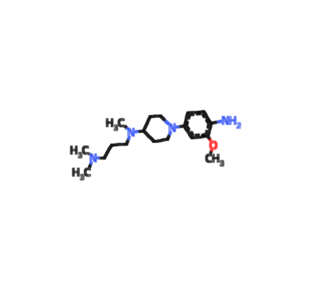 COc1cc(N2CCC(N(C)CCCN(C)C)CC2)ccc1N